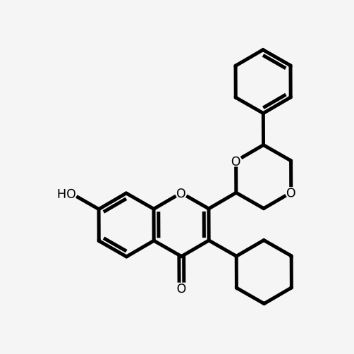 O=c1c(C2CCCCC2)c(C2COCC(C3=CC=CCC3)O2)oc2cc(O)ccc12